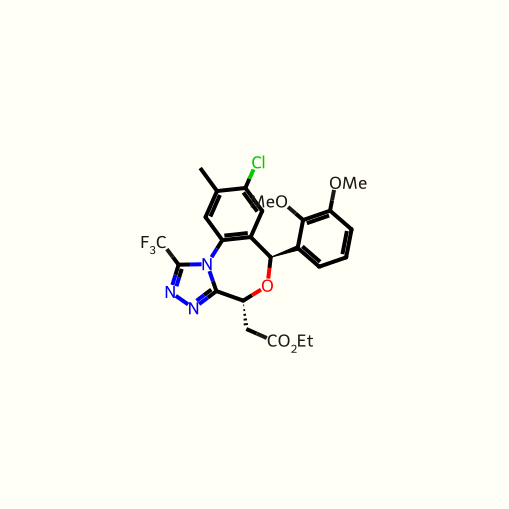 CCOC(=O)C[C@H]1O[C@H](c2cccc(OC)c2OC)c2cc(Cl)c(C)cc2-n2c1nnc2C(F)(F)F